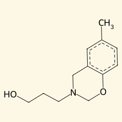 Cc1ccc2c(c1)CN(CCCO)CO2